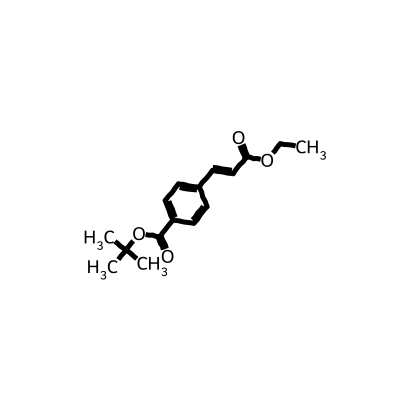 CCOC(=O)C=Cc1ccc(C(=O)OC(C)(C)C)cc1